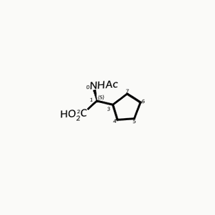 CC(=O)N[C@H](C(=O)O)C1CCCC1